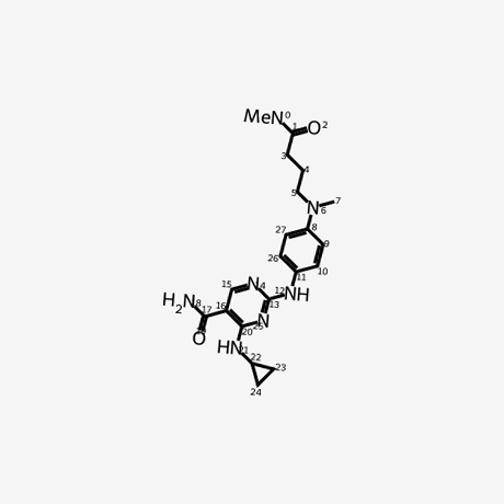 CNC(=O)CCCN(C)c1ccc(Nc2ncc(C(N)=O)c(NC3CC3)n2)cc1